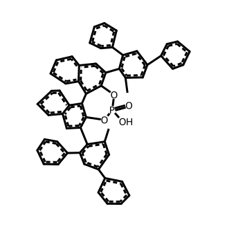 Cc1cc(-c2ccccc2)cc(-c2ccccc2)c1-c1cc2ccccc2c2c1OP(=O)(O)Oc1c(-c3c(C)cc(-c4ccccc4)cc3-c3ccccc3)cc3ccccc3c1-2